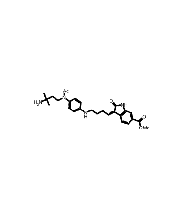 COC(=O)c1ccc2c(c1)NC(=O)C2=CCCCNc1ccc(N(CCC(C)(C)N)C(C)=O)cc1